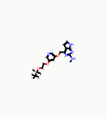 CNc1nc(COc2cncc(OCCO[Si](C)(C)C(C)(C)C)c2)c2cc[nH]c2n1